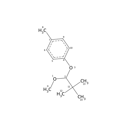 COC(Oc1ccc(C)cc1)C(C)(C)C